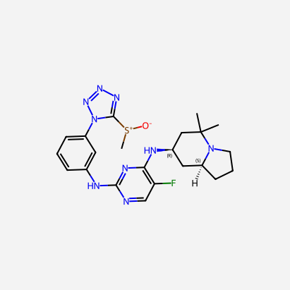 C[S+]([O-])c1nnnn1-c1cccc(Nc2ncc(F)c(N[C@@H]3C[C@@H]4CCCN4C(C)(C)C3)n2)c1